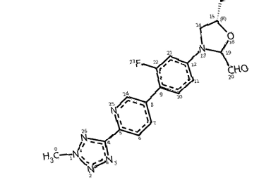 Cn1nnc(-c2ccc(-c3ccc(N4C[C@H](CO)OC4C=O)cc3F)cn2)n1